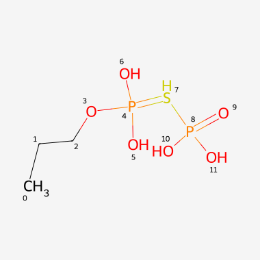 CCCOP(O)(O)=[SH]P(=O)(O)O